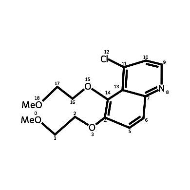 COCCOc1ccc2nccc(Cl)c2c1OCCOC